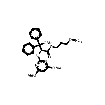 COc1cc(OC)nc(O[C@H](C(=O)OCCCO[N+](=O)[O-])C(OC)(c2ccccc2)c2ccccc2)n1